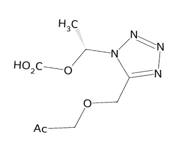 CC(=O)COCc1nnnn1[C@@H](C)OC(=O)O